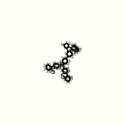 c1ccc2c(c1)-c1cc(-c3ccc(N(c4ccc5c(c4)sc4ccccc45)c4ccc5c(c4)sc4ccccc45)cc3)ccc1C21C2CC3CC(C2)CC1C3